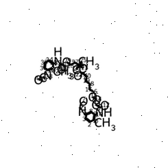 Cc1ccc(N=C=O)cc1NC(=O)OOOCCCCCC(=O)OC(C)(C)CCOC(=O)Nc1cccc(N=C=O)c1C